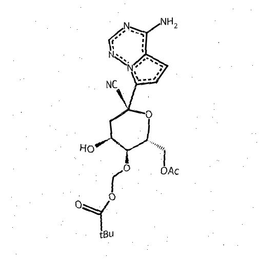 CC(=O)OC[C@H]1O[C@@](C#N)(c2ccc3c(N)ncnn23)C[C@H](O)[C@@H]1OCOC(=O)C(C)(C)C